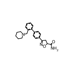 NC(=O)C1CC(c2ccc(-c3ccccc3CN3CCCCC3)cc2)=NO1